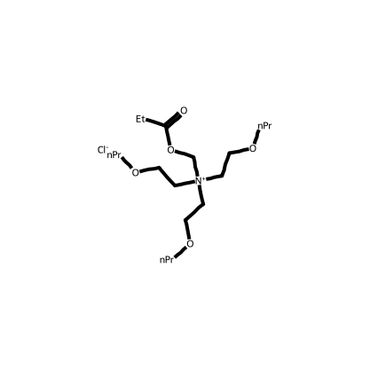 CCCOCC[N+](CCOCCC)(CCOCCC)COC(=O)CC.[Cl-]